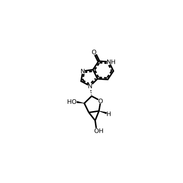 O=c1[nH]ccc2c1ncn2[C@@H]1O[C@@H]2C(O)C2[C@H]1O